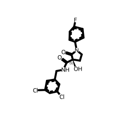 O=C(NCc1cc(Cl)cc(Cl)c1)[C@@]1(O)CCN(c2ccc(F)cc2)C1=O